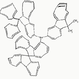 CC1(C)c2ccccc2-c2cc(N(c3ccc4c(c3)-c3ccccc3C4(c3ccccc3)c3ccccc3)c3cccc4c3-c3ccccc3C43c4ccccc4-c4ccccc43)ccc21